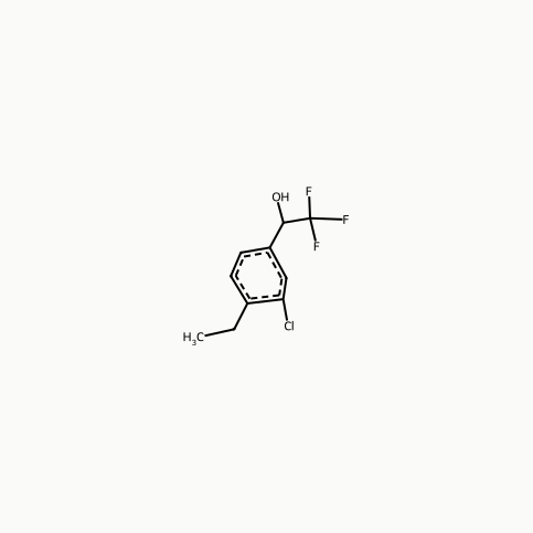 CCc1ccc(C(O)C(F)(F)F)cc1Cl